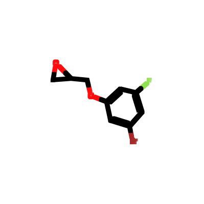 Fc1cc(Br)cc(OCC2CO2)c1